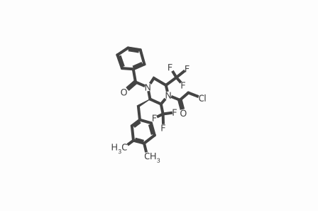 Cc1ccc(C[C@@H]2C(C(F)(F)F)N(C(=O)CCl)C(C(F)(F)F)CN2C(=O)c2ccccc2)cc1C